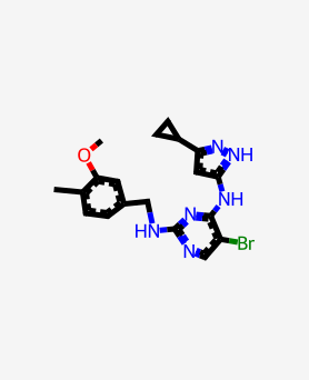 COc1cc(CNc2ncc(Br)c(Nc3cc(C4CC4)n[nH]3)n2)ccc1C